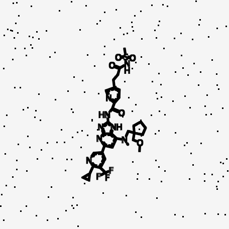 COCC1(CN(C)c2cc(-c3cnc(C4CC4)c(C(F)(F)F)c3)nc3nc(NC(=O)c4ccc(CCC(=O)NS(C)(=O)=O)cn4)[nH]c23)CCCC1